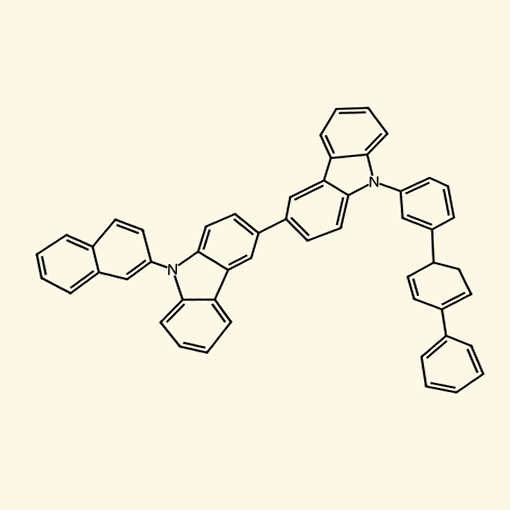 C1=CC(c2cccc(-n3c4ccccc4c4cc(-c5ccc6c(c5)c5ccccc5n6-c5ccc6ccccc6c5)ccc43)c2)CC=C1c1ccccc1